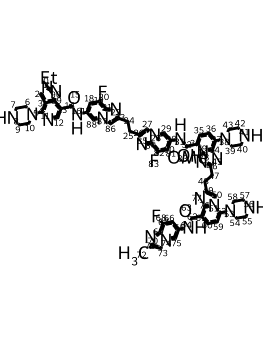 CCn1cc2c(N3CCNCC3)ncc(C(=O)Nc3cc(F)c4nc(CCc5cn6cc(NC(O)c7ccc(N8CCNCC8)c8nc(CCc9cn%10c(N%11CCNCC%11)ccc(C(=O)Nc%11cc(F)c%12nc(C)cn%12c%11)c%10n9)nn78)c(OC)c(F)c6n5)cn4c3)c2n1